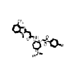 CC(C)N(C)[C@@H]1CC[C@H](NC(=O)Cc2nc3c(C(F)(F)F)cccc3n2C)[C@H](CS(=O)(=O)c2ccc(Br)cc2)C1